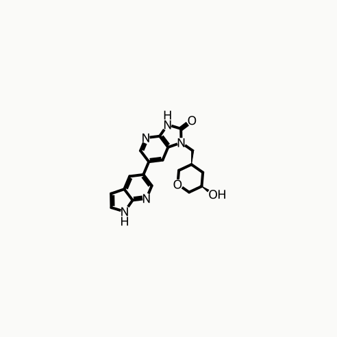 O=c1[nH]c2ncc(-c3cnc4[nH]ccc4c3)cc2n1C[C@@H]1COC[C@H](O)C1